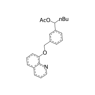 CCCCC(OC(C)=O)c1cccc(COc2cccc3cccnc23)c1